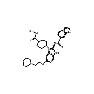 CC(C)NC(=O)[C@H]1CC[C@@H](n2/c(=N/C(=O)c3ccc4ccsc4c3)[nH]c3cnc(OCCN4CCCCC4)cc32)CC1